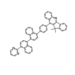 CC1(C)c2ccccc2-c2nc3ccccc3c(-c3ccc(-c4ccc(-c5ccc(-c6ncccn6)c6ccccc56)c5ccccc45)cc3)c21